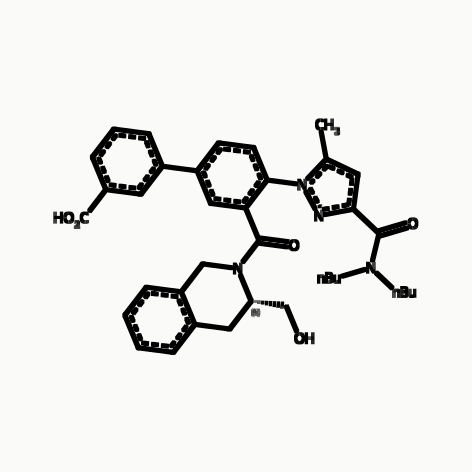 CCCCN(CCCC)C(=O)c1cc(C)n(-c2ccc(-c3cccc(C(=O)O)c3)cc2C(=O)N2Cc3ccccc3C[C@H]2CO)n1